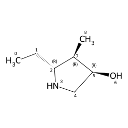 CC[C@H]1NC[C@H](O)[C@@H]1C